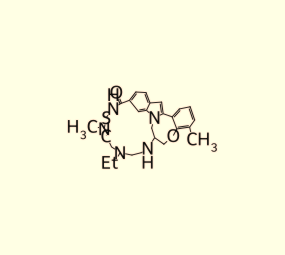 CCN1CCNC2COc3c(C)cccc3-c3cc4ccc(cc4n3C2)C(=O)NSN(C)CC1